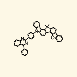 CC1(C)c2ccc3c(oc4ccccc43)c2-c2ccc3c(c21)c1ccccc1n3-c1ccc(-c2nc(-c3ccccc3)c3ccccc3n2)cc1